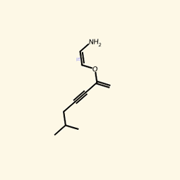 C=C(C#CCC(C)C)O/C=C\N